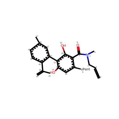 C=CCN(C)C(=O)c1c(CCCCC)cc(O)c(-c2cc(C)ccc2C(=C)C)c1O